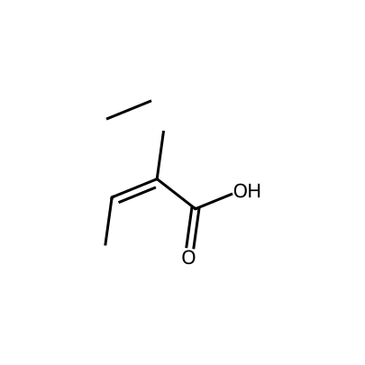 CC.CC=C(C)C(=O)O